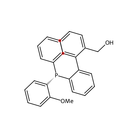 COc1ccccc1[P@](c1ccccc1)c1ccccc1-c1ccccc1CO